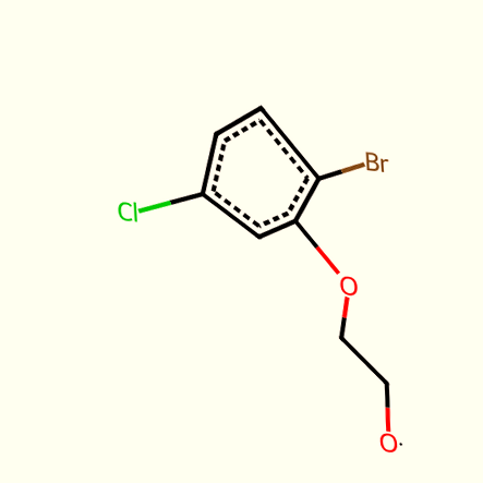 [O]CCOc1cc(Cl)ccc1Br